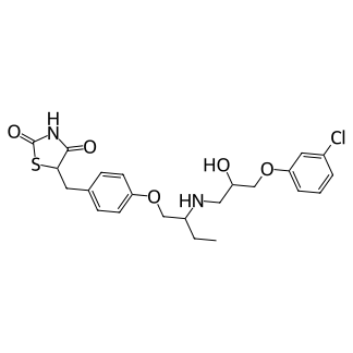 CCC(COc1ccc(CC2SC(=O)NC2=O)cc1)NCC(O)COc1cccc(Cl)c1